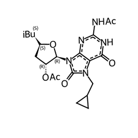 CC[C@H](C)[C@@H]1C[C@@H](OC(C)=O)[C@H](n2c(=O)n(CC3CC3)c3c(=O)[nH]c(NC(C)=O)nc32)O1